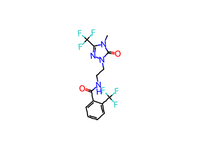 Cn1c(C(F)(F)F)nn(CCNC(=O)c2ccccc2C(F)(F)F)c1=O